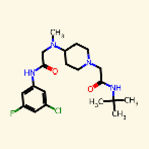 CN(CC(=O)Nc1cc(F)cc(Cl)c1)C1CCN(CC(=O)NC(C)(C)C)CC1